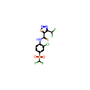 O=S(=O)(c1ccc(NC(=S)c2snnc2C(F)F)c(Cl)c1)C(F)F